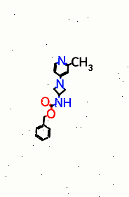 Cc1cc(N2CC(NC(=O)OCc3ccccc3)C2)ccn1